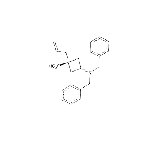 C=CC[C@]1(C(=O)O)C[C@H](N(Cc2ccccc2)Cc2ccccc2)C1